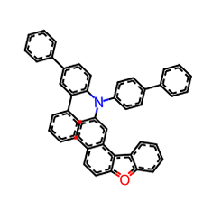 c1ccc(-c2ccc(N(c3ccc4ccc5oc6ccccc6c5c4c3)c3ccc(-c4ccccc4)cc3-c3ccccc3)cc2)cc1